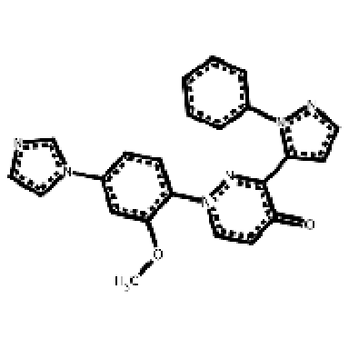 COc1cc(-n2ccnc2)ccc1-n1ccc(=O)c(-c2ccnn2-c2ccccc2)n1